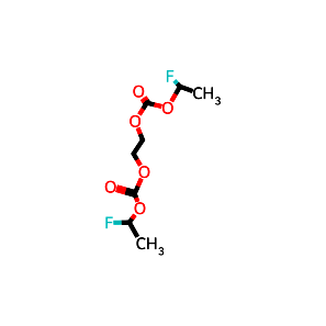 CC(F)OC(=O)OCCOC(=O)OC(C)F